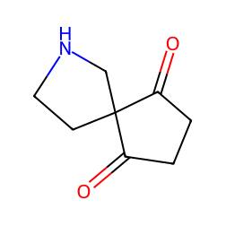 O=C1CCC(=O)C12CCNC2